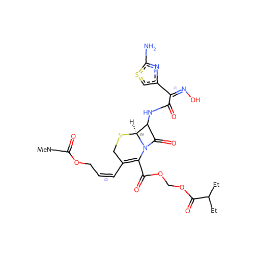 CCC(CC)C(=O)OCOC(=O)C1=C(/C=C\COC(=O)NC)CS[C@H]2C(NC(=O)/C(=N\O)c3csc(N)n3)C(=O)N12